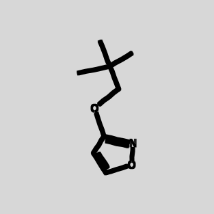 CC(C)(C)COc1ccon1